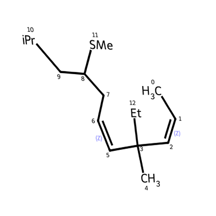 C/C=C\C(C)(/C=C\CC(CC(C)C)SC)CC